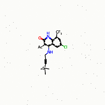 CC(=O)c1c(NCC#C[Si](C)(C)C)c2cc(Cl)cc(C(F)(F)F)c2[nH]c1=O